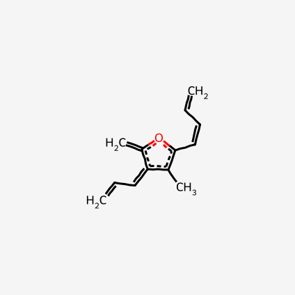 C=C/C=C\c1oc(=C)/c(=C\C=C)c1C